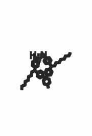 CCCCCCCCC(c1ccc(N)cc1)c1ccc(C2(c3ccc(C(CCCCCCCC)c4ccc(N)cc4)cc3)CCC(C)CC2)cc1